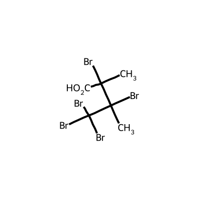 CC(Br)(C(=O)O)C(C)(Br)C(Br)(Br)Br